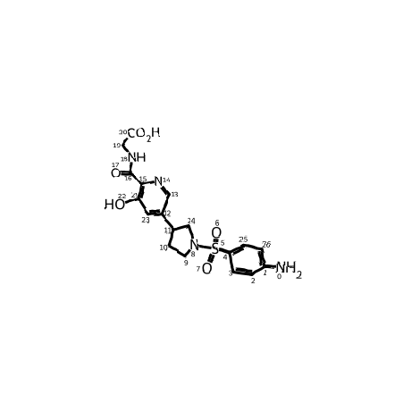 Nc1ccc(S(=O)(=O)N2CCC(c3cnc(C(=O)NCC(=O)O)c(O)c3)C2)cc1